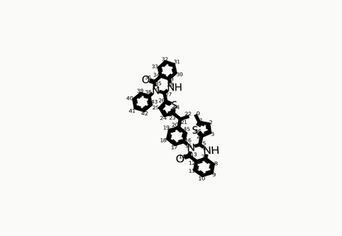 Cc1ccc(C2Nc3ccccc3C(=O)N2c2cccc(C(C)c3ccc(C4Nc5ccccc5C(=O)N4c4ccccc4)s3)c2)s1